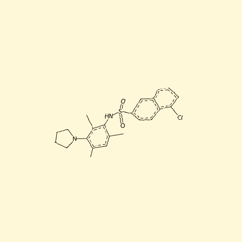 Cc1cc(C)c(N2CCCC2)c(C)c1NS(=O)(=O)c1ccc2c(Cl)cccc2c1